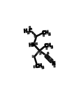 CCC(C)(C#N)NC(C)C